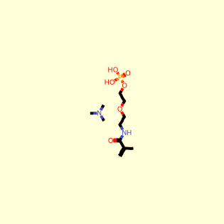 C=C(C)C(=O)NCCOCCOP(=O)(O)O.CN(C)C